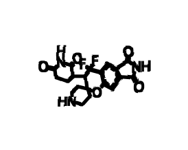 O=C1CCC(C2C3(CCNCC3)Oc3cc4c(cc3C2(F)F)C(=O)NC4=O)C(=O)N1